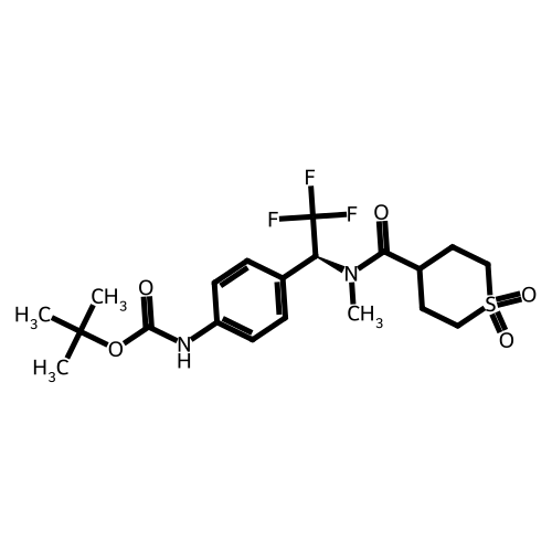 CN(C(=O)C1CCS(=O)(=O)CC1)[C@@H](c1ccc(NC(=O)OC(C)(C)C)cc1)C(F)(F)F